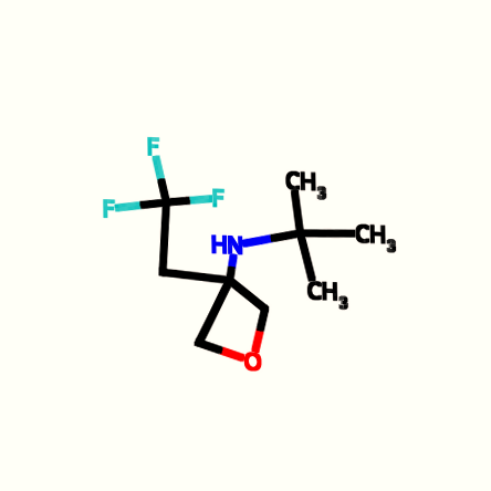 CC(C)(C)NC1(CC(F)(F)F)COC1